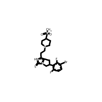 CS(=O)(=O)C1CCN(CCc2[nH]c(=S)n3c2CC(c2c(F)ccc(Br)c2F)C3)CC1